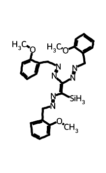 COc1ccccc1CN=NC([SiH3])=C(N=NCc1ccccc1OC)N=NCc1ccccc1OC